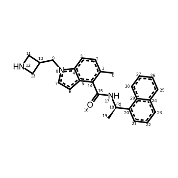 Cc1ccc2c(ccn2CC2CNC2)c1C(=O)N[C@H](C)c1cccc2ccccc12